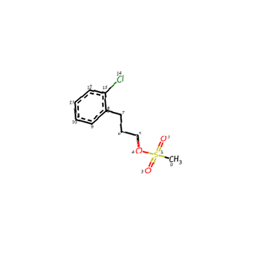 CS(=O)(=O)OCCCc1ccccc1Cl